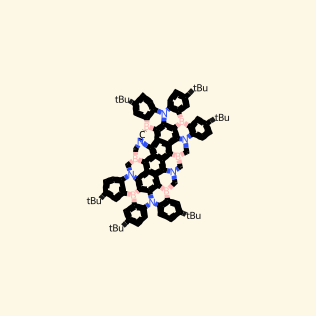 CC(C)(C)c1ccc2c(c1)B1c3cc(C(C)(C)C)ccc3N3c4ccc(C(C)(C)C)cc4B4CN5CB6CN7c8ccc(C(C)(C)C)cc8B8c9cc(C(C)(C)C)ccc9N9c%10ccc(C(C)(C)C)cc%10B%10CN%11CB%12CN2c2c1c3c4c1c5c3c6c4c7c8c9c%10c4c%11c3c%12c21